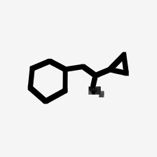 N[C](CC1CCCCC1)C1CC1